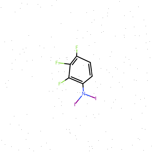 Fc1ccc(N(I)I)c(F)c1F